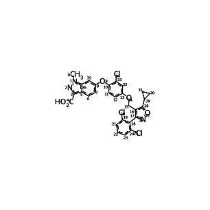 Cn1nc(C(=O)O)c2ccc(Oc3ccc(OCc4c(-c5c(Cl)cccc5Cl)noc4C4CC4)cc3Cl)cc21